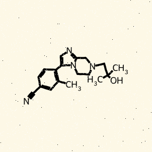 Cc1cc(C#N)ccc1-c1cnc2n1CCN(CC(C)(C)O)C2